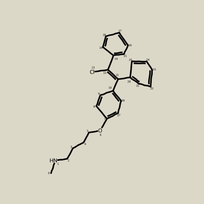 CNCCCCOc1ccc(C(=C(Cl)c2ccccc2)c2ccccc2)cc1